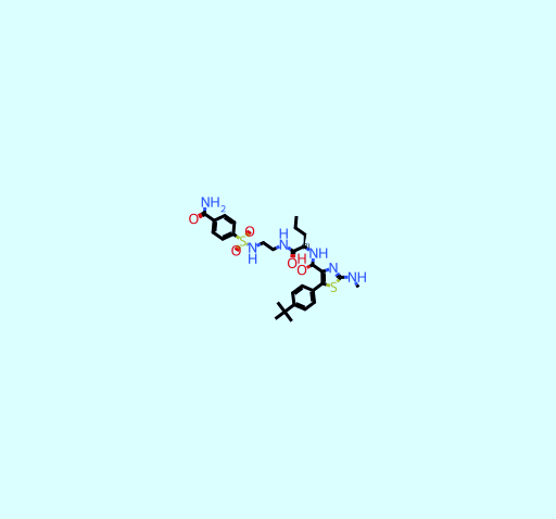 CCC[C@@H](NC(O)c1nc(NC)sc1-c1ccc(C(C)(C)C)cc1)C(=O)NCCNS(=O)(=O)c1ccc(C(N)=O)cc1